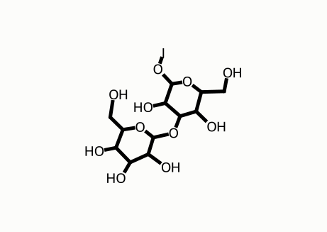 OCC1OC(OC2C(O)C(CO)OC(OI)C2O)C(O)C(O)C1O